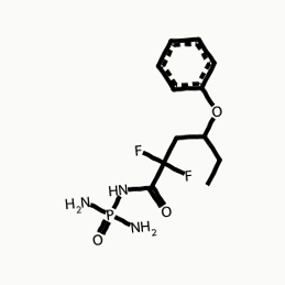 CCC(CC(F)(F)C(=O)NP(N)(N)=O)Oc1ccccc1